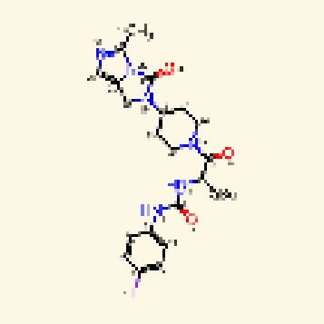 CCC(C)[C@@H](NC(=O)Nc1ccc(I)cc1)C(=O)N1CCC(N2Cc3cnc(C)n3C2=O)CC1